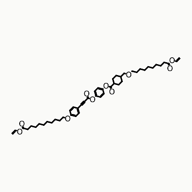 C=COC(=O)CCCCCCCCCCOc1ccc(C#CC(=O)Oc2ccc(OC(=O)C3CCC(COCCCCCCCCCC(=O)OC=C)CC3)cc2)cc1